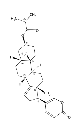 C[C@@H](N)C(=O)O[C@H]1CC[C@@]2(C)[C@H](CC[C@H]3C4=CC[C@H](c5ccc(=O)oc5)[C@@]4(C)CC[C@@H]32)C1